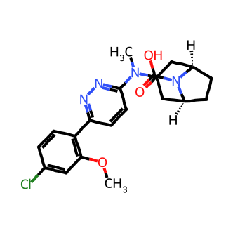 COc1cc(Cl)ccc1-c1ccc(N(C)C2C[C@H]3CC[C@@H](C2)N3C(=O)O)nn1